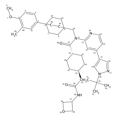 COc1ccc(C23CCC(CN(c4cc(-c5cnn(C(C)(C)C)c5)ccn4)C(=O)[C@H]4CC[C@H](OC(=O)NC5COC5)CC4)(CC2)CC3)cc1C